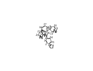 Clc1ccc(N(CC2(c3cccnc3)C=CC=CC2)C2=NCCS2)cc1